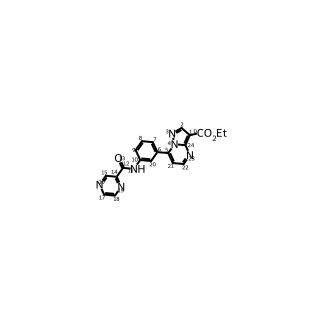 CCOC(=O)c1cnn2c(-c3cccc(NC(=O)c4cnccn4)c3)ccnc12